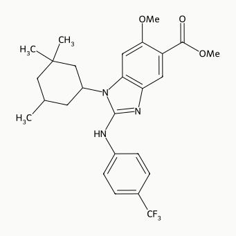 COC(=O)c1cc2nc(Nc3ccc(C(F)(F)F)cc3)n(C3CC(C)CC(C)(C)C3)c2cc1OC